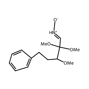 COC(CCc1ccccc1)C(C=[NH+][O-])(OC)OC